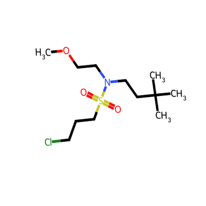 COCCN(CCC(C)(C)C)S(=O)(=O)CCCCl